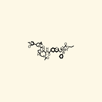 CCCOC(=O)[C@H](C)NP(=O)(Cc1ccc2ccc(C(=O)N[C@H]3CN(C(C)=O)CC[C@H]4CC[C@@H](C(=O)N5CC(c6ccn(C)c(=O)c6)CC56CC6)N4C3=O)cc2c1)Oc1ccccc1